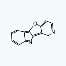 C1=NCc2c3c(oc2=C1)=c1ccccc1=N3